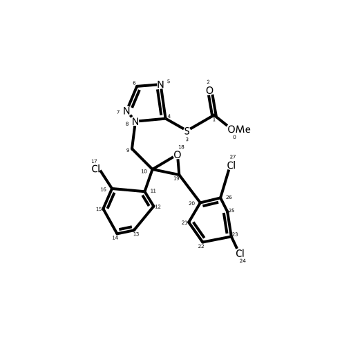 COC(=O)Sc1ncnn1CC1(c2ccccc2Cl)OC1c1ccc(Cl)cc1Cl